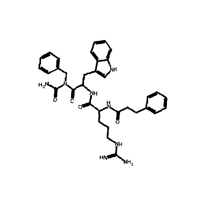 N=C(N)NCCCC(NC(=O)[CH]Cc1ccccc1)C(=O)NC(Cc1c[nH]c2ccccc12)C(=O)N(Cc1ccccc1)C(N)=O